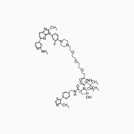 Cc1ncsc1-c1ccc(CNC(=O)[C@@H]2C[C@@H](O)CN2C(=O)[C@@H](NC(=O)CCOCCOCCOCCN2CCN(c3ccc(-n4c(C)nc5ccc(-c6ccnc(N)c6)nc54)cc3F)CC2)C(C)(C)C)cc1